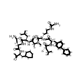 CC(=O)[C@H](CC1CCCCC1)NC(=O)[C@H](CCN)NC(=O)[C@@H](CC(C)C)NC(=O)[C@H](C)N(C)C(=O)[C@H](CCCNC(N)=O)NC(=O)[C@H](Cc1ccc(-c2ccccc2)cc1)NC(=O)[C@@H](C)C(C)C